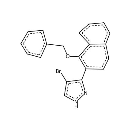 Brc1c[nH]nc1-c1ccc2ccccc2c1OCc1ccccc1